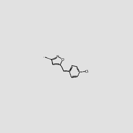 [CH2]c1cc(Cc2ccc(Cl)cc2)on1